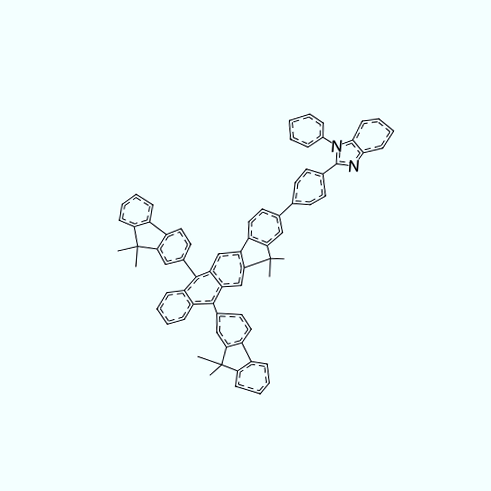 CC1(C)c2ccccc2-c2ccc(-c3c4ccccc4c(-c4ccc5c(c4)C(C)(C)c4ccccc4-5)c4cc5c(cc34)-c3ccc(-c4ccc(-c6nc7ccccc7n6-c6ccccc6)cc4)cc3C5(C)C)cc21